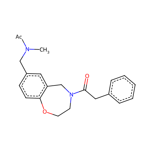 CC(=O)N(C)Cc1ccc2c(c1)CN(C(=O)Cc1ccccc1)CCO2